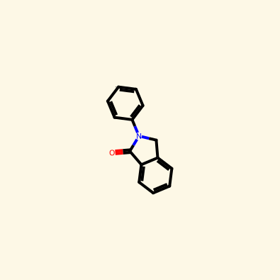 O=C1c2ccccc2CN1c1cc[c]cc1